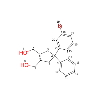 OCCCC1(CCCO)c2ccccc2-c2ccc(Br)cc21